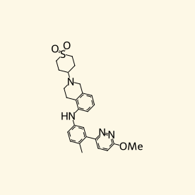 COc1ccc(-c2cc(Nc3cccc4c3CCN(C3CCS(=O)(=O)CC3)C4)ccc2C)nn1